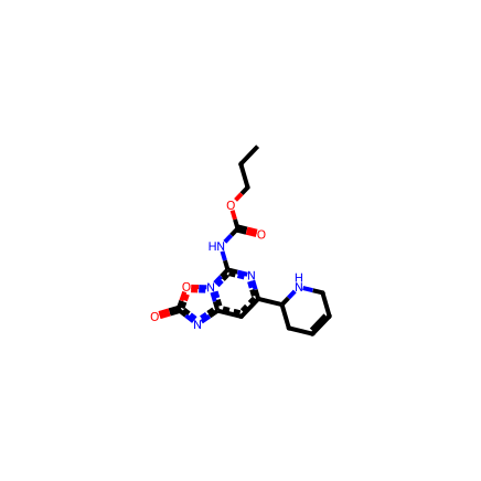 CCCOC(=O)Nc1nc(C2CC=CCN2)cc2nc(=O)on12